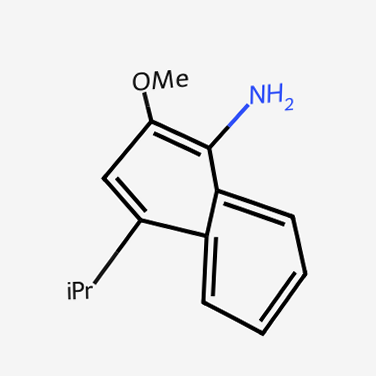 COc1cc(C(C)C)c2ccccc2c1N